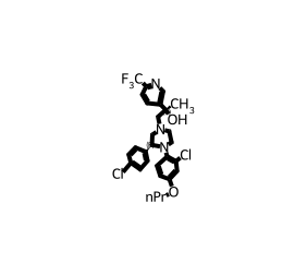 CCCOc1ccc(N2CCN(C[C@@](C)(O)c3ccc(C(F)(F)F)nc3)C[C@H]2c2ccc(Cl)cc2)c(Cl)c1